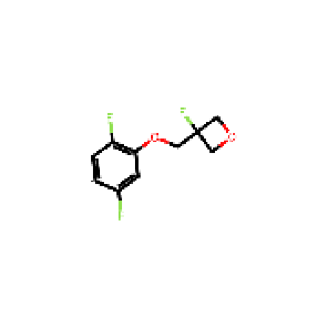 Fc1[c]cc(F)c(OCC2(F)COC2)c1